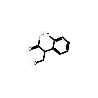 Cc1ccccc1C(CO)C(=O)I